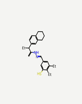 C=C(N/N=C/c1cc(S)c(CC)c(CC)c1)C(CC)c1ccc2c(c1)CCCC2